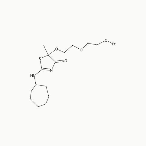 CCOCCOCCOC1(C)SC(NC2CCCCCC2)=NC1=O